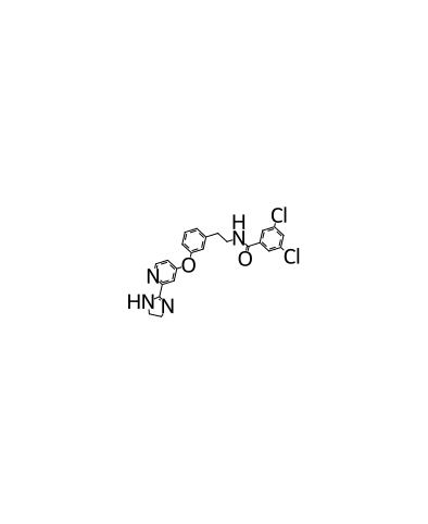 O=C(NCCc1cccc(Oc2ccnc(C3=NCCN3)c2)c1)c1cc(Cl)cc(Cl)c1